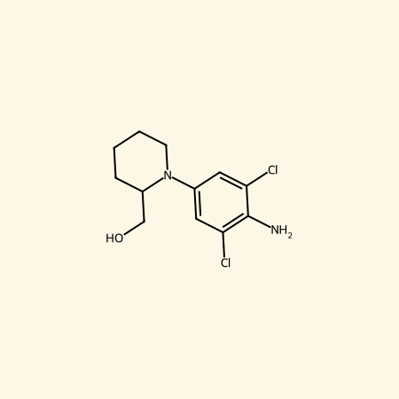 Nc1c(Cl)cc(N2CCCCC2CO)cc1Cl